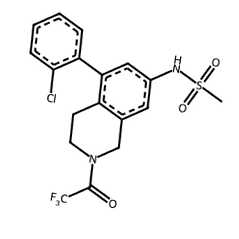 CS(=O)(=O)Nc1cc2c(c(-c3ccccc3Cl)c1)CCN(C(=O)C(F)(F)F)C2